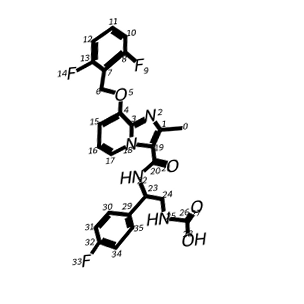 Cc1nc2c(OCc3c(F)cccc3F)cccn2c1C(=O)NC(CNC(=O)O)c1ccc(F)cc1